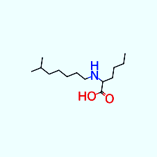 CCCCC(NCCCCCC(C)C)C(=O)O